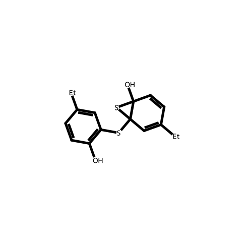 CCC1=CC2(Sc3cc(CC)ccc3O)SC2(O)C=C1